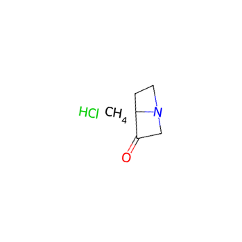 C.Cl.O=C1CN2CCC12